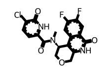 CN(C(=O)c1ccc(Cl)c(=O)[nH]1)[C@@H]1COCc2[nH]c(=O)c3cc(F)c(F)cc3c21